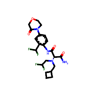 NC(=O)[C@@H](C(=O)Nc1ccc(N2CCOCC2=O)cc1C(F)F)N(CC(F)F)CC1CCC1